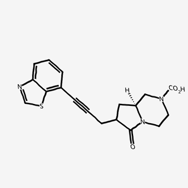 O=C(O)N1CCN2C(=O)C(CC#Cc3cccc4ncsc34)C[C@H]2C1